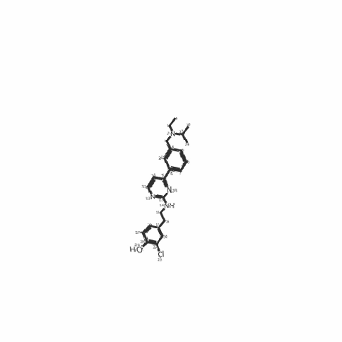 CCN(Cc1cccc(-c2ccnc(NCCc3ccc(O)c(Cl)c3)n2)c1)C(C)C